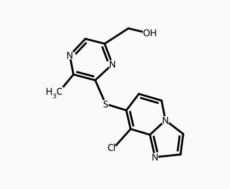 Cc1ncc(CO)nc1Sc1ccn2ccnc2c1Cl